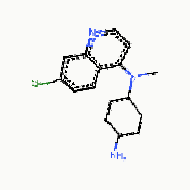 CN(c1ccnc2cc(Cl)ccc12)C1CCC(N)CC1